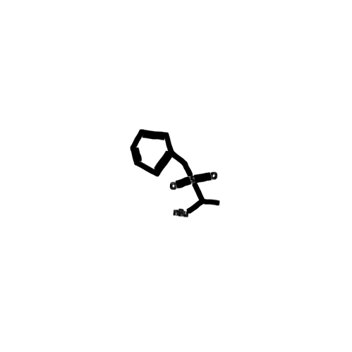 CCCCC(C)S(=O)(=O)Cc1ccccc1